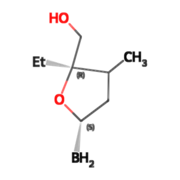 B[C@H]1CC(C)[C@](CC)(CO)O1